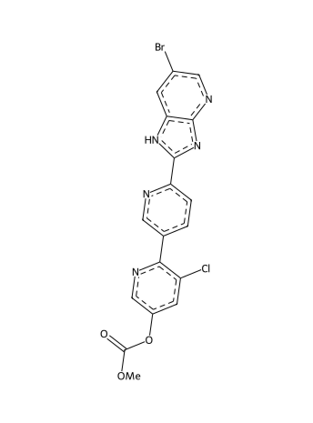 COC(=O)Oc1cnc(-c2ccc(-c3nc4ncc(Br)cc4[nH]3)nc2)c(Cl)c1